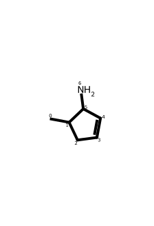 CC1CC=CC1N